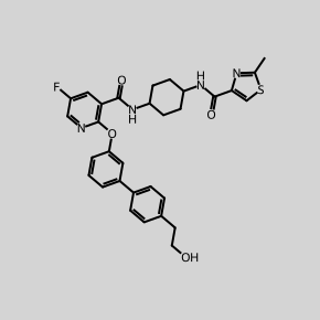 Cc1nc(C(=O)NC2CCC(NC(=O)c3cc(F)cnc3Oc3cccc(-c4ccc(CCO)cc4)c3)CC2)cs1